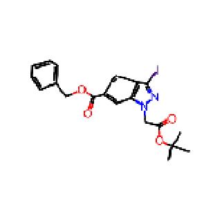 CC(C)(C)OC(=O)Cn1nc(I)c2ccc(C(=O)OCc3ccccc3)cc21